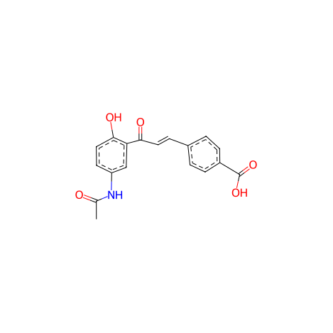 CC(=O)Nc1ccc(O)c(C(=O)/C=C/c2ccc(C(=O)O)cc2)c1